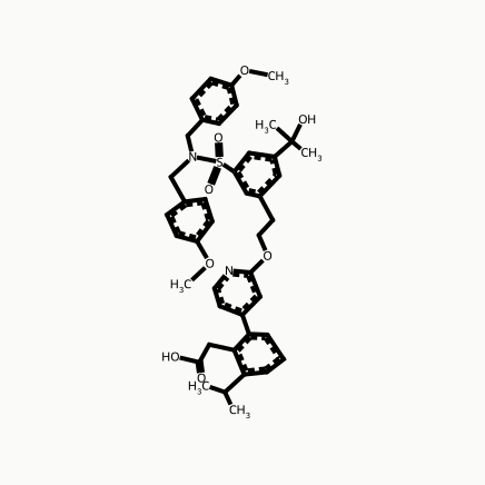 COc1ccc(CN(Cc2ccc(OC)cc2)S(=O)(=O)c2cc(CCOc3cc(-c4cccc(C(C)C)c4CC(=O)O)ccn3)cc(C(C)(C)O)c2)cc1